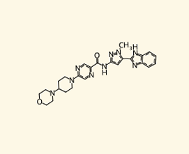 Cn1nc(NC(=O)c2cnc(N3CCC(N4CCOCC4)CC3)cn2)cc1-c1nc2ccccc2[nH]1